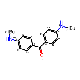 CCC(C)Nc1ccc(C(=O)c2ccc(NC(C)CC)cc2)cc1